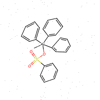 C[As](OS(=O)(=O)c1ccccc1)(c1ccccc1)(c1ccccc1)c1ccccc1